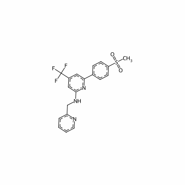 CS(=O)(=O)c1ccc(-c2cc(C(F)(F)F)cc(NCc3ccccn3)n2)cc1